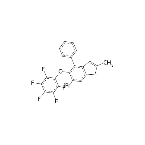 CC1=Cc2c(cc(C(C)C)c(Oc3c(F)c(F)c(F)c(F)c3F)c2-c2ccccc2)[CH]1